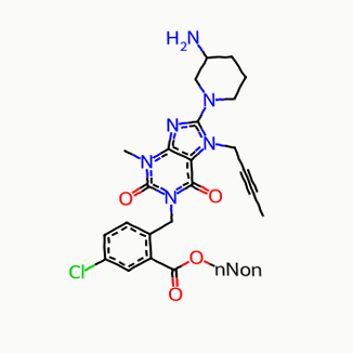 CC#CCn1c(N2CCCC(N)C2)nc2c1c(=O)n(Cc1ccc(Cl)cc1C(=O)OCCCCCCCCC)c(=O)n2C